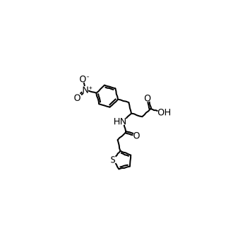 O=C(O)CC(Cc1ccc([N+](=O)[O-])cc1)NC(=O)Cc1cccs1